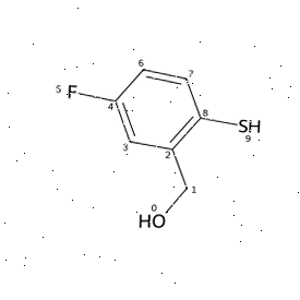 OCc1cc(F)ccc1S